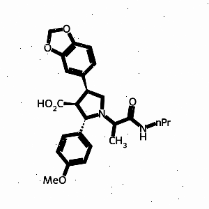 CCCNC(=O)C(C)N1C[C@H](c2ccc3c(c2)OCO3)[C@H](C(=O)O)[C@H]1c1ccc(OC)cc1